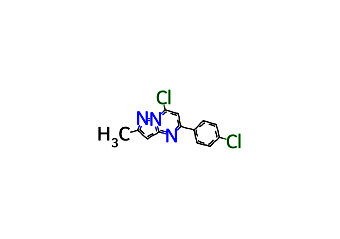 Cc1cc2nc(-c3ccc(Cl)cc3)cc(Cl)n2n1